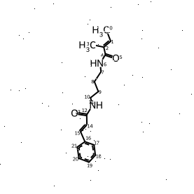 C/C=C(\C)C(=O)NCCCCNC(=O)/C=C/c1ccccc1